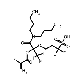 C=C(F)C(=O)OC(OCCC(F)(F)S(=O)(=O)O)(C(=O)N(CCCC)CCCC)C(F)(F)F